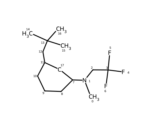 CN(CC(F)(F)F)C1CCCC(CC(C)(C)C)C1